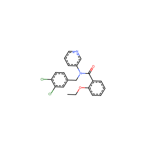 CCOc1ccccc1C(=O)N(Cc1ccc(Cl)c(Cl)c1)c1cccnc1